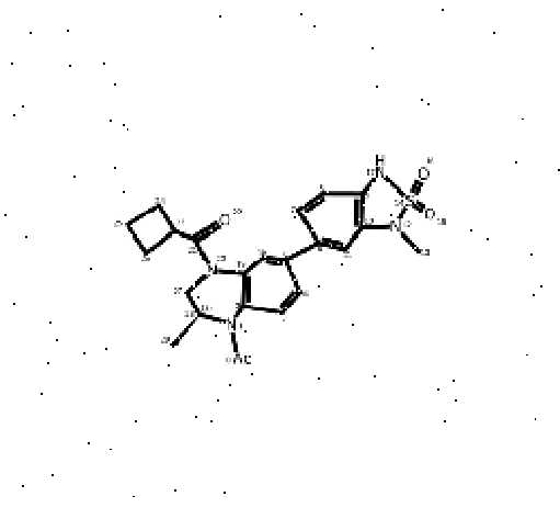 CC(=O)N1c2ccc(-c3ccc4c(c3)N(C)S(=O)(=O)N4)cc2N(C(=O)C2CCC2)C[C@@H]1C